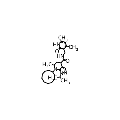 Cc1cc(C)c(CNC(=O)C2CC(C)N(C3CCCCCCCCC3)c3c2cnn3C(C)C)c(=O)[nH]1